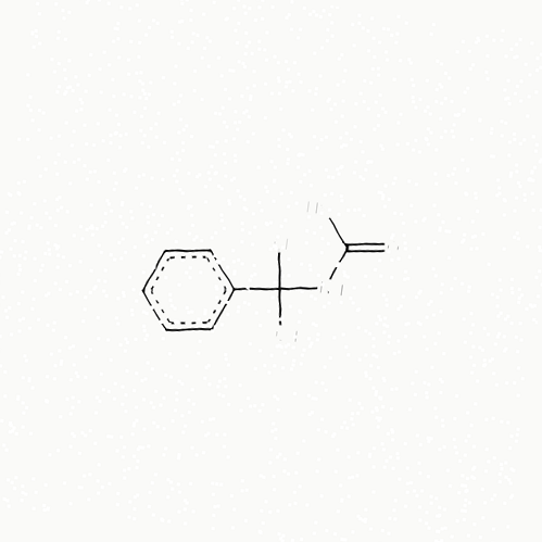 CC(C)(NC(=O)S)c1ccccc1